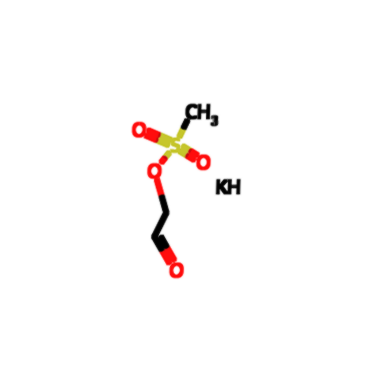 CS(=O)(=O)OCC=O.[KH]